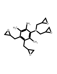 Cc1c(N)c(N(CC2CO2)CC2CO2)c(C)c(CC2CO2)c1CC1CO1